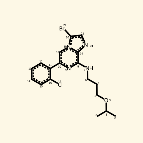 CC(C)OCCCNc1nc(-c2ccccc2Cl)cn2c(Br)cnc12